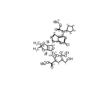 CCOP(=O)(OCC)C(CO)CC(OC[C@H]1O[C@@H](n2ncc3c(N(C(=O)OC(C)(C)C)C4CCCC4)nc(Cl)nc32)[C@@H]2OC(C)(C)O[C@@H]21)C(=O)OC(C)(C)C